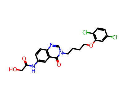 O=C(CO)Nc1ccc2ncn(CCCCOc3cc(Cl)ccc3Cl)c(=O)c2c1